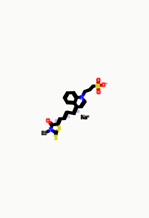 CCN1C(=O)/C(=C/C=C/C=C2/C=CN(CCCS(=O)(=O)[O-])c3ccccc32)SC1=S.[Na+]